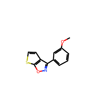 COc1cccc(-c2noc3sccc23)c1